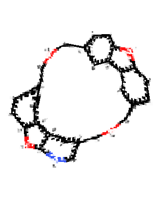 c1cc2oc3ccc4cc3c2cc1COCc1ccc2oc3ncc(cc3c2c1)COC4